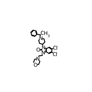 CC(c1ccccc1)N1CCC(n2c(=O)n(CCN3CCOCC3)c3cc(Cl)c(Cl)cc32)CC1